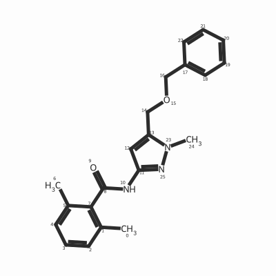 Cc1cccc(C)c1C(=O)Nc1cc(COCc2ccccc2)n(C)n1